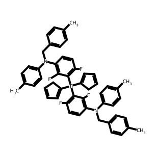 Cc1ccc(CN(c2ccc(C)cc2)c2ccc(F)[c]([Ti]([C]3=CC=CC3)([C]3=CC=CC3)[c]3c(F)ccc(N(Cc4ccc(C)cc4)c4ccc(C)cc4)c3F)c2F)cc1